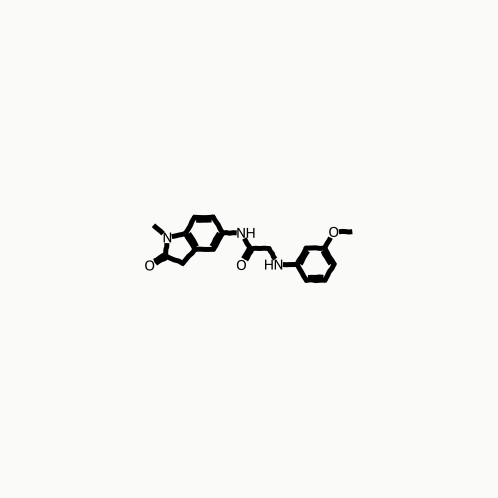 COc1cccc(NCC(=O)Nc2ccc3c(c2)CC(=O)N3C)c1